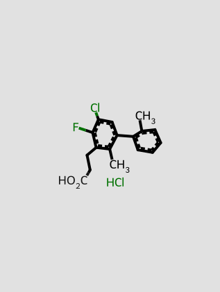 Cc1ccccc1-c1cc(Cl)c(F)c(CCC(=O)O)c1C.Cl